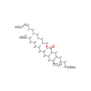 CCCCCCCC/C=C\CCCCCCCCOC(=O)CCCCCCCCCCCCCCCCC.CCCCCCCCCCCCCCCCCCCCCC(=O)O